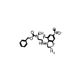 CCN(NCCN(C)C(=O)OCc1ccccc1)c1c(F)cc([N+](=O)[O-])cc1F